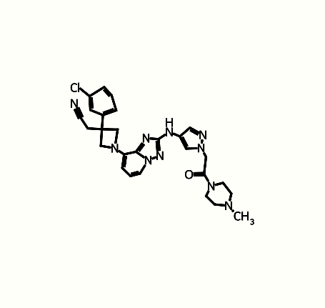 CN1CCN(C(=O)Cn2cc(Nc3nc4c(N5CC(CC#N)(c6cccc(Cl)c6)C5)cccn4n3)cn2)CC1